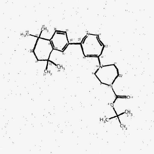 CC(C)(C)OC(=O)N1CCN(c2ccnc(-c3ccc4c(c3)C(C)(C)CCC4(C)C)c2)CC1